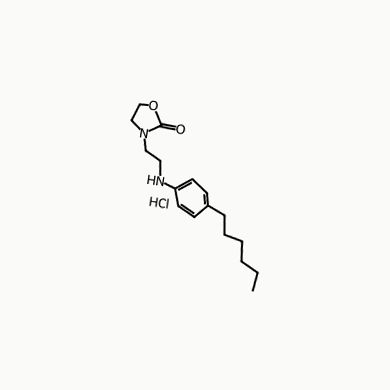 CCCCCCc1ccc(NCCN2CCOC2=O)cc1.Cl